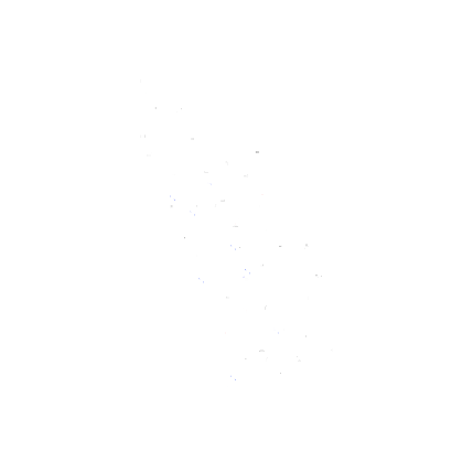 NC(=O)[C@H]1CC(F)(F)CN1C(=O)c1cccc(Cl)c1-n1cnc(Cn2nc(-c3ccc(Cl)cc3)n(CC(O)C(F)(F)F)c2=O)n1